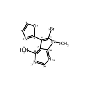 Cn1c(Br)c(-c2ncco2)c2c(N)ncnc21